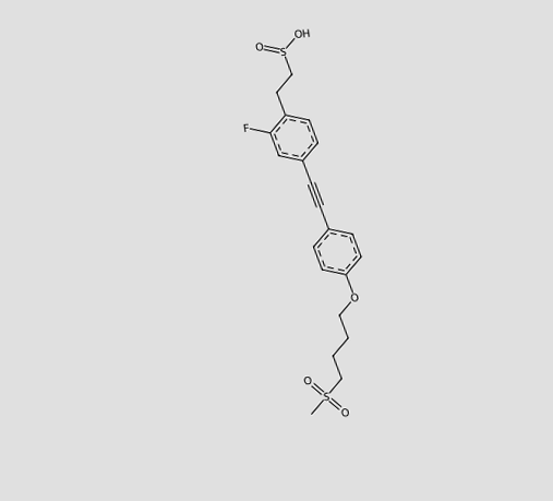 CS(=O)(=O)CCCCOc1ccc(C#Cc2ccc(CCS(=O)O)c(F)c2)cc1